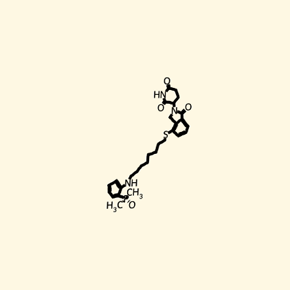 CP(C)(=O)c1ccccc1NCCCCCCCCSc1cccc2c1CN(C1CCC(=O)NC1=O)C2=O